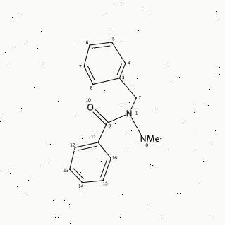 C[N]N(Cc1ccccc1)C(=O)c1ccccc1